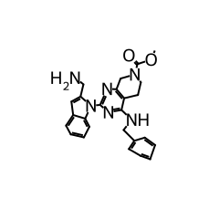 COC(=O)N1CCc2c(nc(-n3c(CN)cc4ccccc43)nc2NCc2ccccc2)C1